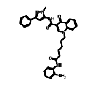 Cn1nc(-c2ccccc2)cc1NC(=O)c1cn(CCCCCC(=O)Nc2ccccc2N)c2ccccc2c1=O